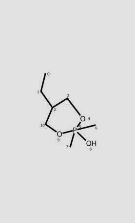 CCC1COP(C)(C)(O)OC1